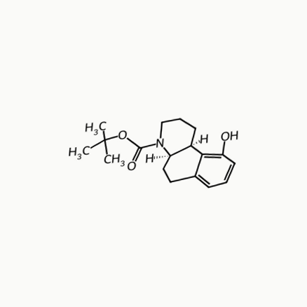 CC(C)(C)OC(=O)N1CCC[C@H]2c3c(O)cccc3CC[C@H]21